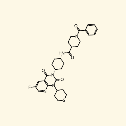 O=C(N[C@H]1CC[C@@H](n2c(=O)c3cc(F)cnc3n(C3CCSCC3)c2=O)CC1)C1CCN(C(=O)c2ccccc2)CC1